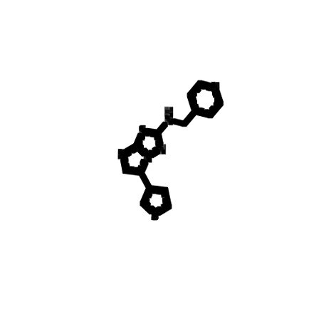 c1cc(CNc2nn3c(-c4ccsc4)cnc3s2)ccn1